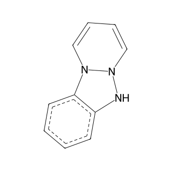 C1=CN2Nc3ccccc3N2C=C1